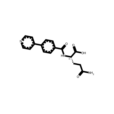 NC(=O)CC[C@H](NC(=O)c1ccc(-c2ccncc2)cc1)C(=O)O